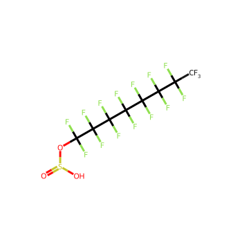 O=S(O)OC(F)(F)C(F)(F)C(F)(F)C(F)(F)C(F)(F)C(F)(F)C(F)(F)C(F)(F)F